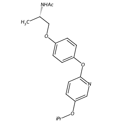 CC(=O)N[C@@H](C)COc1ccc(Oc2ccc(OC(C)C)cn2)cc1